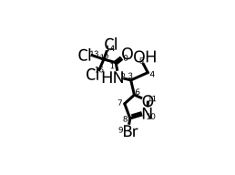 O=C(NC(CO)C1CC(Br)=NO1)C(Cl)(Cl)Cl